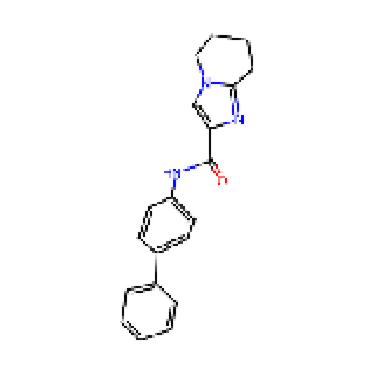 O=C(Nc1ccc(-c2ccccc2)cc1)c1cn2c(n1)CCCC2